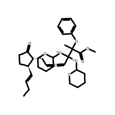 CC/C=C/[C@H]1CCC(=O)[C@@H]1CC=C=CC([16O]C1CCCCO1)([16O]C1CCCCO1)C(C)(Oc1ccccc1)C(=O)OC